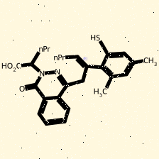 CCC/C=C(\Cc1nn(C(CCC)C(=O)O)c(=O)c2ccccc12)c1c(C)cc(C)cc1S